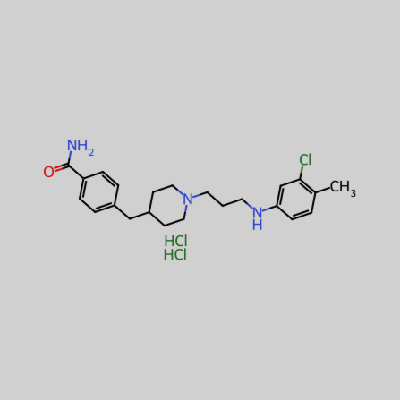 Cc1ccc(NCCCN2CCC(Cc3ccc(C(N)=O)cc3)CC2)cc1Cl.Cl.Cl